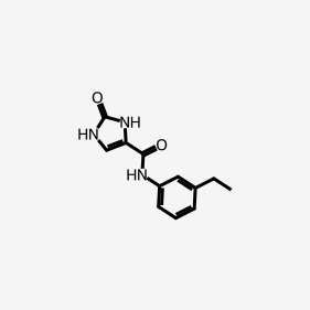 CCc1cccc(NC(=O)c2c[nH]c(=O)[nH]2)c1